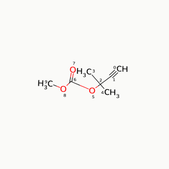 C#CC(C)(C)OC(=O)OC